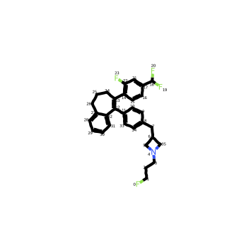 FCCCN1CC(Cc2ccc(C3=C(c4ccc(C(F)F)cc4F)CCCc4ccccc43)cc2)C1